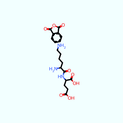 NCCCCC(N)C(=O)NC(CCC(=O)O)C(=O)O.O=C1OC(=O)c2ccccc21